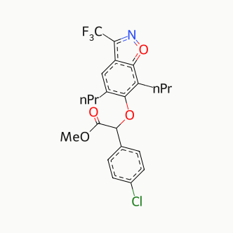 CCCc1cc2c(C(F)(F)F)noc2c(CCC)c1OC(C(=O)OC)c1ccc(Cl)cc1